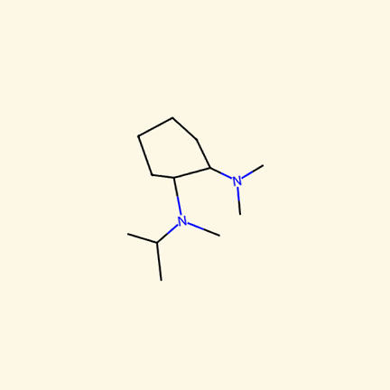 CC(C)N(C)C1CCCCC1N(C)C